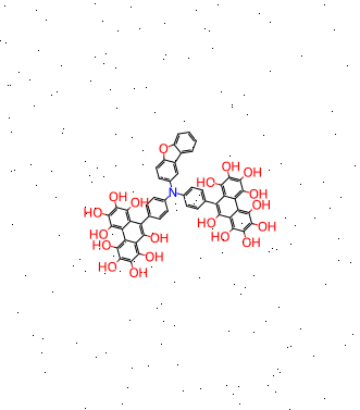 Oc1c(O)c(O)c2c(c1O)c(O)c(-c1ccc(N(c3ccc(-c4c(O)c5c(O)c(O)c(O)c(O)c5c5c(O)c(O)c(O)c(O)c45)cc3)c3ccc4oc5ccccc5c4c3)cc1)c1c(O)c(O)c(O)c(O)c12